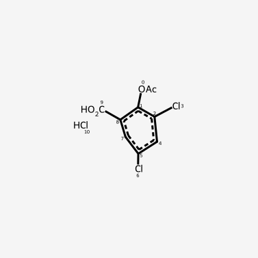 CC(=O)Oc1c(Cl)cc(Cl)cc1C(=O)O.Cl